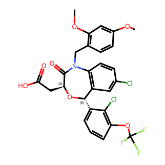 COc1ccc(CN2C(=O)[C@H](CC(=O)O)O[C@@H](c3cccc(OC(F)(F)F)c3Cl)c3cc(Cl)ccc32)c(OC)c1